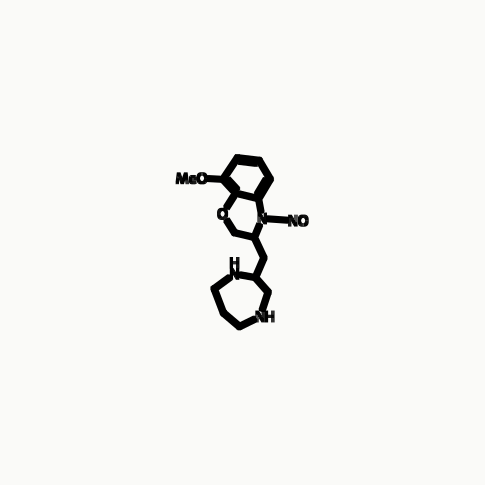 COc1cccc2c1OCC(CC1CNCCCN1)N2N=O